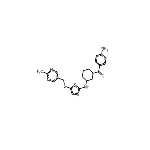 Nc1ccc(C(=O)N2CCCC(Nc3ncc(SCc4cnc(C(F)(F)F)nc4)s3)C2)cc1